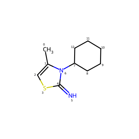 Cc1csc(=N)n1C1CCCCC1